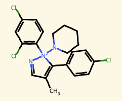 CC1=C(c2ccc(Cl)cc2)[N+](c2ccc(Cl)cc2Cl)(N2CCCCC2)N=C1